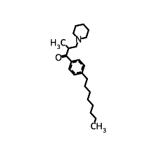 CCCCCCCCc1ccc(C(=O)C(C)CN2CCCCC2)cc1